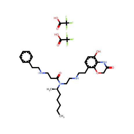 CCCCC[C@@H](C)N(CCNCCc1ccc(O)c2c1OCC(=O)N2)C(=O)CCNCCc1ccccc1.O=C(O)C(F)(F)F.O=C(O)C(F)(F)F